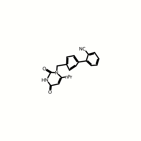 CCCc1cc(=O)[nH]c(=O)n1Cc1ccc(-c2ccccc2C#N)cc1